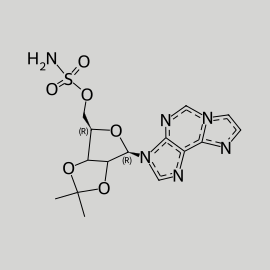 CC1(C)OC2C(O1)[C@@H](COS(N)(=O)=O)O[C@H]2n1cnc2c1ncn1ccnc21